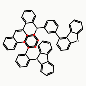 c1cc(-c2cccc3oc4ccccc4c23)cc(N(c2ccc(-c3ccccc3-n3c4ccccc4c4ccccc43)cc2)c2ccccc2-c2cc3ccccc3c3ccccc23)c1